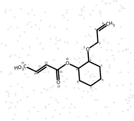 C=CCOC1CCCCC1OC(=O)/C=C/C(=O)O